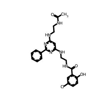 CC(=O)NCCNc1cc(NCCNC(=O)c2cc(Cl)ccc2O)nc(-c2ccccc2)n1